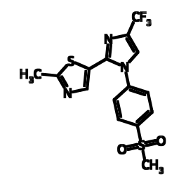 Cc1ncc(-c2nc(C(F)(F)F)cn2-c2ccc(S(C)(=O)=O)cc2)s1